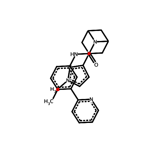 Cc1ccc(NC(=O)N2C3CC2CN(c2ccn(C)n2)C3)cc1-c1ccccn1